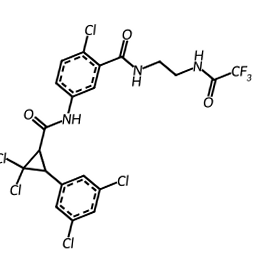 O=C(NCCNC(=O)C(F)(F)F)c1cc(NC(=O)C2C(c3cc(Cl)cc(Cl)c3)C2(Cl)Cl)ccc1Cl